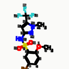 COc1ccc(Br)cc1S(=O)(=O)Nc1cc(C(F)(F)F)n(C)n1